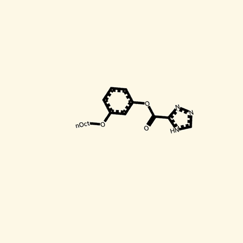 CCCCCCCCOc1cccc(OC(=O)c2nnc[nH]2)c1